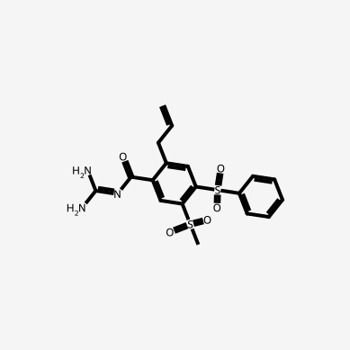 C=CCc1cc(S(=O)(=O)c2ccccc2)c(S(C)(=O)=O)cc1C(=O)N=C(N)N